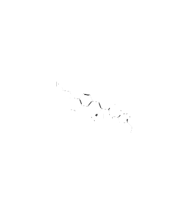 CCc1nnc(NC(=O)/C(C#N)=C/c2ccc(OCCO)c(OC)c2)s1